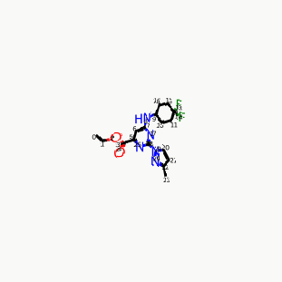 CCOC(=O)c1cc(NC2CCC(F)(F)CC2)nc(-n2ccc(C)n2)n1